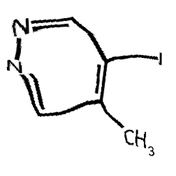 Cc1cnncc1I